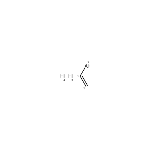 C=[CH][Al].I.I